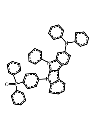 O=P(c1ccccc1)(c1ccccc1)c1ccc(-n2c3ccccc3c3c4ccc(N(c5ccccc5)c5ccccc5)cc4n(-c4ccccc4)c32)cc1